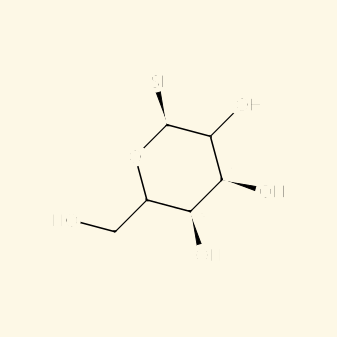 OCC1O[C@@H](S)C(O)[C@@H](O)[C@H]1O